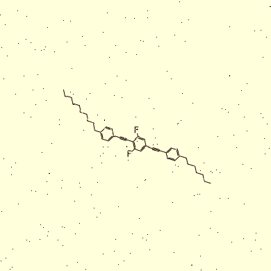 CCCCCCCCCCc1ccc(C#Cc2c(F)cc(C#Cc3ccc(CCCCCCC)cc3)cc2F)cc1